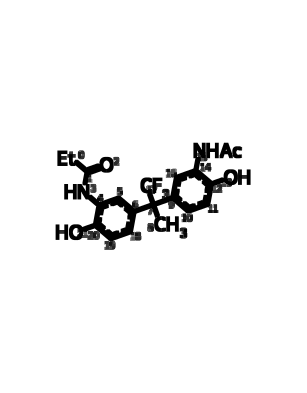 CCC(=O)Nc1cc(C(C)(c2ccc(O)c(NC(C)=O)c2)C(F)(F)F)ccc1O